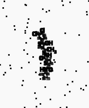 C/C(=N\NC(=O)c1ccc(C(=O)NC2CCCC2)s1)c1csc(-c2ccc(Cl)c(Cl)c2)c1O